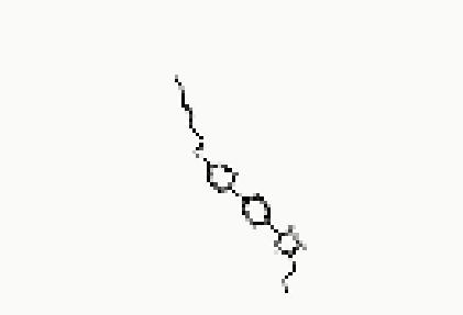 CCC=CCCOc1ccc(-c2ccc(-c3nnc(CCC)s3)cc2)cc1